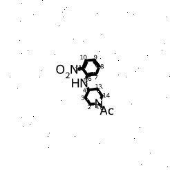 CC(=O)N1CCC(Nc2ccccc2[N+](=O)[O-])CC1